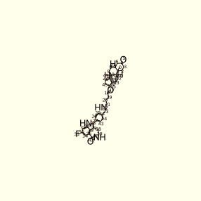 C[C@]12CCC(=O)C[C@@H]1CC[C@@H]1[C@@H]2CC[C@]2(C)[C@@H](OCCCCNCc3ccc(-c4[nH]c5cc(F)cc6c5c4CCNC6=O)cc3)CC[C@@H]12